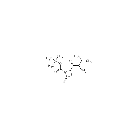 CC(C)C(N)C(=O)C1CC(=O)N1C(=O)OC(C)(C)C